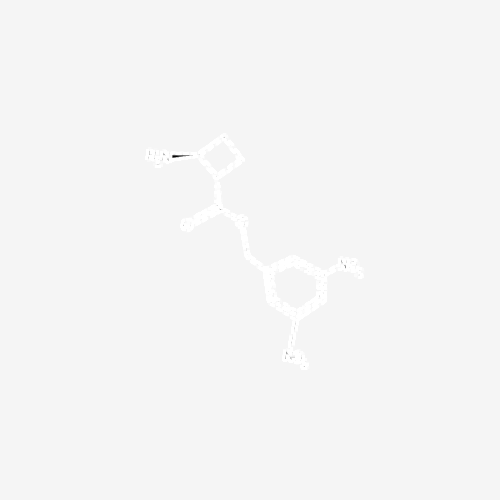 N[C@H]1CC[C@@H]1C(=O)OCc1cc([N+](=O)[O-])cc([N+](=O)[O-])c1